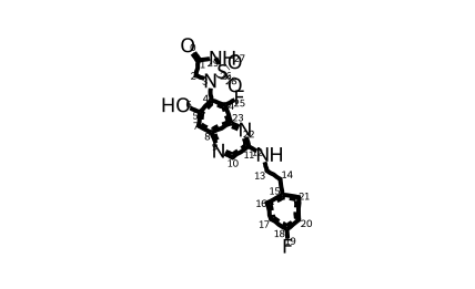 O=C1CN(c2c(O)cc3ncc(NCCc4ccc(F)cc4)nc3c2F)S(=O)(=O)N1